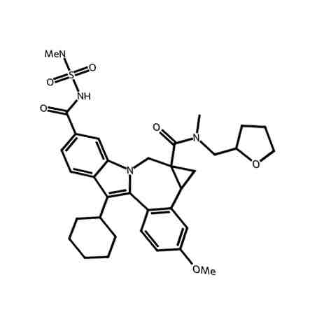 CNS(=O)(=O)NC(=O)c1ccc2c(C3CCCCC3)c3n(c2c1)CC1(C(=O)N(C)CC2CCCO2)CC1c1cc(OC)ccc1-3